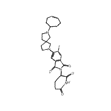 O=C1CCC(N2C(=O)c3cc(F)c(N4CCC5(CCN(C6CCC=CCC6)C5)C4)cc3C2=O)C(=O)N1